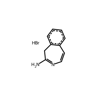 Br.NC1=NC=Cc2ccccc2C1